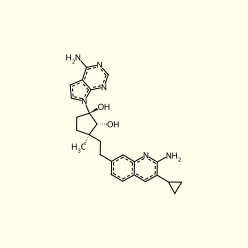 C[C@]1(CCc2ccc3cc(C4CC4)c(N)nc3c2)CC[C@](O)(n2ccc3c(N)ncnc32)[C@@H]1O